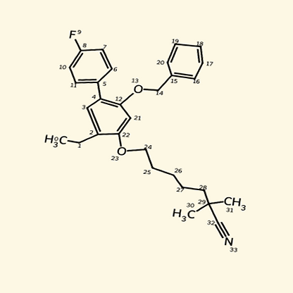 CCc1cc(-c2ccc(F)cc2)c(OCc2ccccc2)cc1OCCCCCC(C)(C)C#N